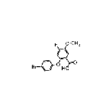 COc1cc(C(=O)O)c(Oc2ccc(Br)cc2)cc1F